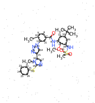 COc1c(NC(=O)c2ccc(C)c(-n3cc(-c4cnc(Sc5ccccc5)n4C)nn3)c2)cc(C(C)(C)C)cc1NS(C)(=O)=O